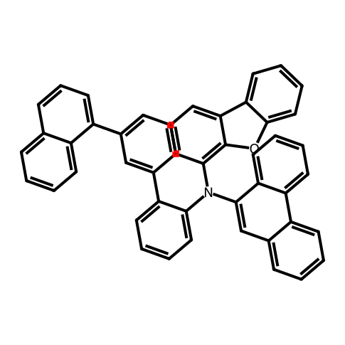 c1cc(-c2ccccc2N(c2cc3ccccc3c3ccccc23)c2cccc3c2oc2ccccc23)cc(-c2cccc3ccccc23)c1